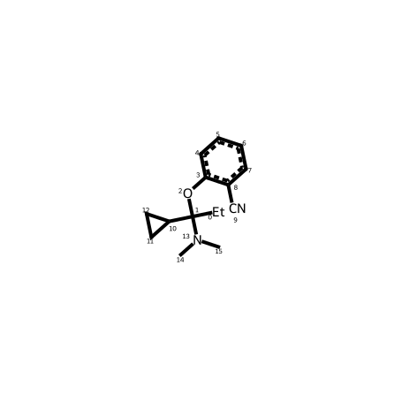 CCC(Oc1ccccc1C#N)(C1CC1)N(C)C